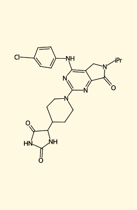 CC(C)N1Cc2c(Nc3ccc(Cl)cc3)nc(N3CCC(C4NC(=O)NC4=O)CC3)nc2C1=O